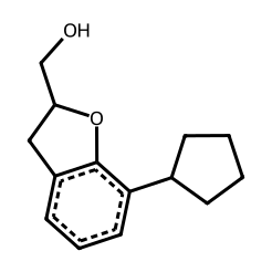 OCC1Cc2cccc(C3CCCC3)c2O1